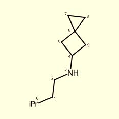 CC(C)CCNC1CC2(CC2)C1